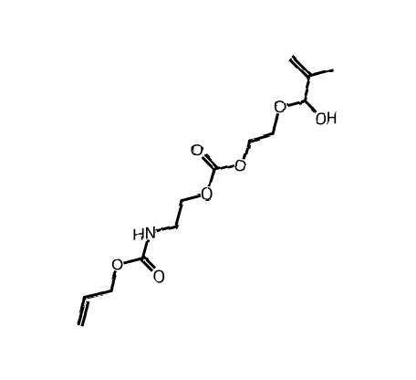 C=CCOC(=O)NCCOC(=O)OCCOC(O)C(=C)C